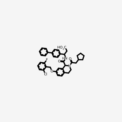 O=C(O)CC(NC(=O)C1c2cc(OCc3c(F)cccc3Cl)ccc2CCN1C(=O)CC1CCCC1)c1ccc(-c2ccccc2)cc1